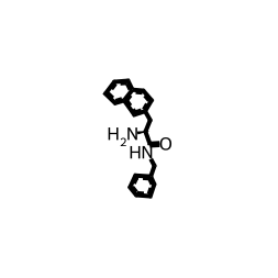 N[C@@H](Cc1ccc2ccccc2c1)C(=O)NCc1ccccc1